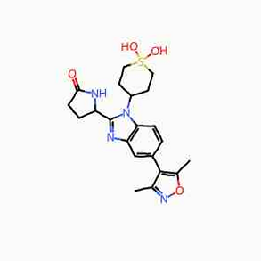 Cc1noc(C)c1-c1ccc2c(c1)nc(C1CCC(=O)N1)n2C1CCS(O)(O)CC1